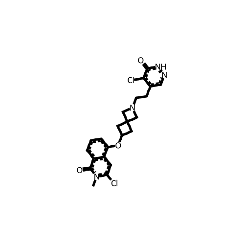 Cn1c(Cl)cc2c(OC3CC4(C3)CN(CCc3cn[nH]c(=O)c3Cl)C4)cccc2c1=O